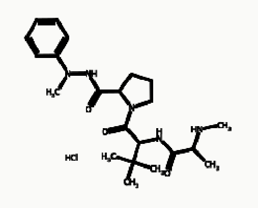 CNC(C)C(=O)NC(C(=O)N1CCCC1C(=O)NN(C)c1ccccc1)C(C)(C)C.Cl